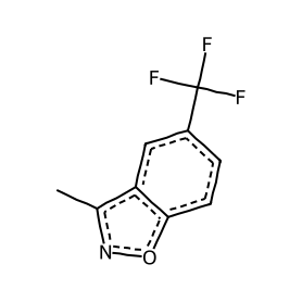 Cc1noc2ccc(C(F)(F)F)cc12